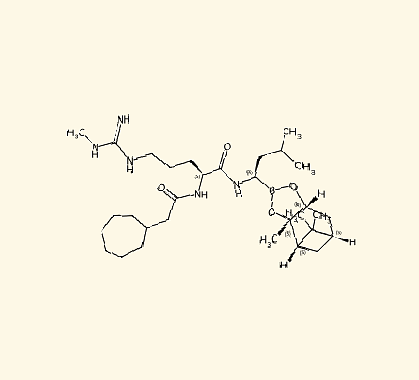 CNC(=N)NCCC[C@H](NC(=O)CC1CCCCCC1)C(=O)N[C@@H](CC(C)C)B1O[C@@H]2C[C@@H]3C[C@@H](C3(C)C)[C@]2(C)O1